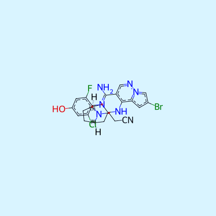 N#CCCN1[C@@H]2CC[C@H]1CC(Nc1c(C(N)=Nc3c(F)cc(O)cc3Cl)cnn3cc(Br)cc13)C2